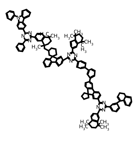 CC1(C)CCC(C)(C)c2cc(-c3nc(-c4cccc(C5=CCCc6ccccc65)c4)nc(-c4ccc5c(c4)C4(CCCC4)c4ccc(-c6cccc(-c7ccc(-c8nc(-c9ccc%10c(c9)C(C)(C)CCC%10(C)C)nc(-c9ccc%10c(c9)C9(CCCC(CC%11(C)CCC(C)(C)c%12ccc(-c%13nc(-c%14ccccc%14)nc(-c%14ccc%15c(c%14)c%14ccccc%14n%15-c%14ccccc%14)n%13)cc%12%11)C9)c9ccccc9-%10)n8)cc7)c6)cc4-5)n3)ccc21